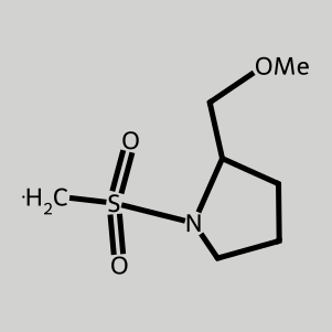 [CH2]S(=O)(=O)N1CCCC1COC